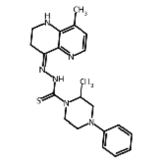 Cc1ccnc2c1NCC/C2=N/NC(=S)N1CCN(c2ccccc2)CC1C